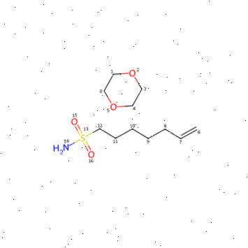 C1COCCO1.C=CCCCCCS(N)(=O)=O